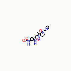 COCC(=O)Nc1cc2c(cc1F)/C(=C/c1[nH]c3c(c1C)C(=O)N(CCN1CCCC1)CCC3)C(=O)N2